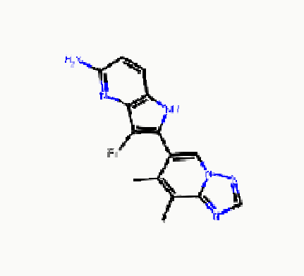 Cc1c(-c2[nH]c3ccc(N)nc3c2C(C)C)cn2ncnc2c1C